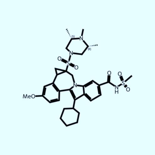 COc1ccc2c(c1)C1CC1(S(=O)(=O)N1C[C@@H](C)N(C)[C@@H](C)C1)Cn1c-2c(C2CCCCC2)c2ccc(C(=O)NS(C)(=O)=O)cc21